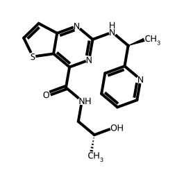 C[C@H](Nc1nc(C(=O)NC[C@@H](C)O)c2sccc2n1)c1ccccn1